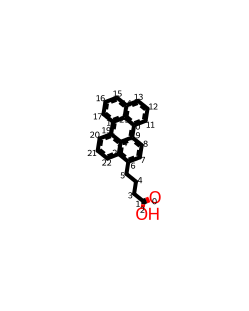 O=C(O)CCCc1ccc2c3cccc4cccc(c5cccc1c52)c43